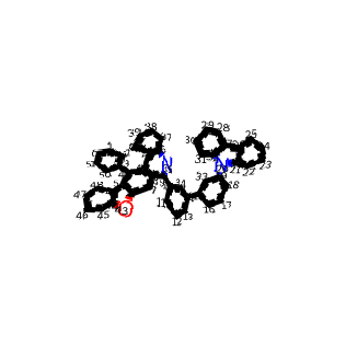 c1ccc(-c2c3c(cc4c(-c5cccc(-c6cccc(-n7c8ccccc8c8ccccc87)c6)c5)nc5ccccc5c24)oc2ccccc23)cc1